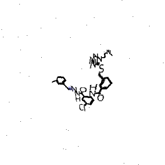 Cc1cccc(/C=N/NC(=O)c2cc(Cl)ccc2NC(=O)c2cccc(CSc3nnnn3CCN(C)C)c2)c1